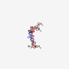 CCOC(=O)C(C)(C)COS(=O)(=O)ON1C(=O)N2C[C@H]1CC[C@H]2C(=O)NC1CCN(C(=O)OC(C)OC(C)=O)CC1